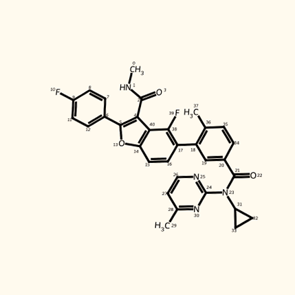 CNC(=O)c1c(-c2ccc(F)cc2)oc2ccc(-c3cc(C(=O)N(c4nccc(C)n4)C4CC4)ccc3C)c(F)c12